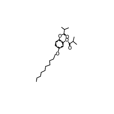 CCCCCCCCCCOc1ccc(OC(=O)C(C)C)c(OC(=O)C(C)C)c1